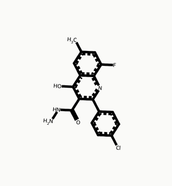 Cc1cc(F)c2nc(-c3ccc(Cl)cc3)c(C(=O)NN)c(O)c2c1